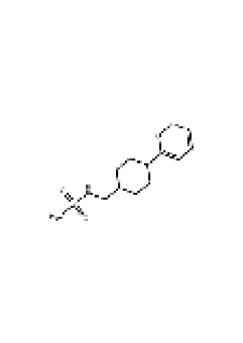 CS(=O)(=O)NCC1CCC(C2=CC=COO2)CC1